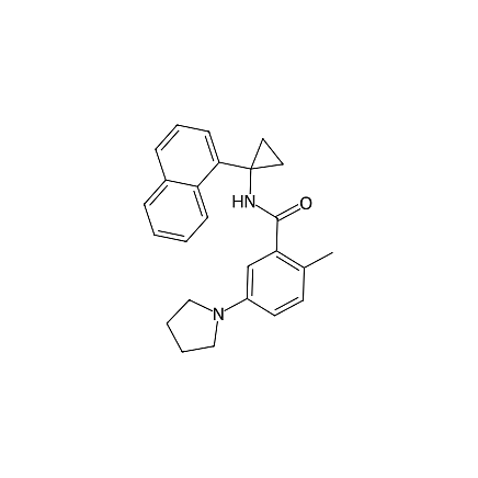 Cc1ccc(N2CCCC2)cc1C(=O)NC1(c2cccc3ccccc23)CC1